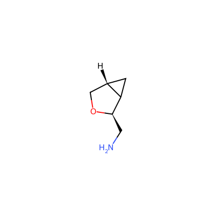 NC[C@H]1OC[C@@H]2CC21